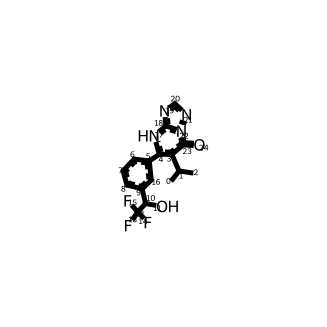 CC(C)c1c(-c2cccc(C(O)C(F)(F)F)c2)[nH]c2ncnn2c1=O